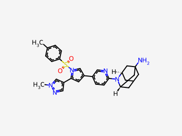 Cc1ccc(S(=O)(=O)n2cc(-c3ccc(N4[C@@H]5CC6C[C@H]4CC(N)(C6)C5)nc3)cc2-c2cnn(C)c2)cc1